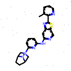 Cc1cccnc1-c1nc2cc(Nc3cccc(N4CC5CCC(C4)N5C)n3)ncc2s1